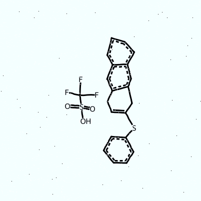 C1=C(Sc2ccccc2)Cc2cc3ccccc3cc2C1.O=S(=O)(O)C(F)(F)F